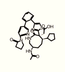 CC(=O)N[C@@H]1CC[C@H](C2CCCC2)[C@](CC(=O)O)(c2nc(-c3ccccc3-c3ccc(N4CCCC4=O)nc3)cs2)C(=O)NC1